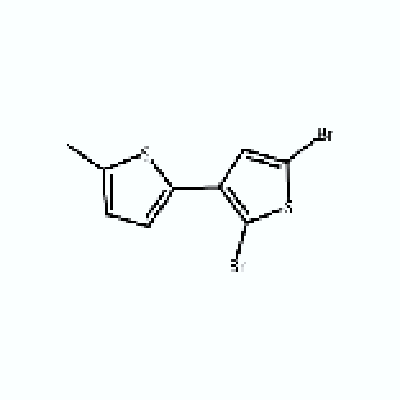 Cc1ccc(-c2cc(Br)sc2Br)s1